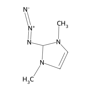 CN1C=CN(C)C1N=[N+]=[N-]